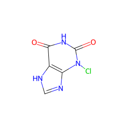 O=c1[nH]c(=O)n(Cl)c2nc[nH]c12